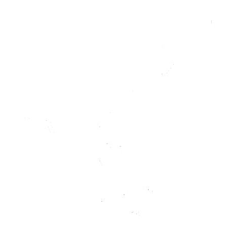 Bc1ccc(/C=C/c2ccc(N(c3ccc(C)cc3)c3ccc(C(C)(C)C)cc3)cc2)cc1